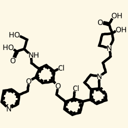 O=C(O)C(CO)NCc1cc(Cl)c(OCc2cccc(-c3cccc4c3CCN4CCCN3CCC(O)(C(=O)O)C3)c2Cl)cc1OCc1cccnc1